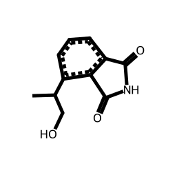 CC(CO)c1cccc2c1C(=O)NC2=O